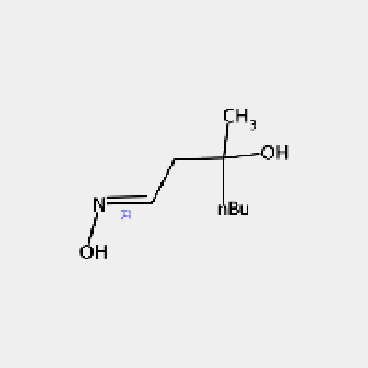 CCCCC(C)(O)C/C=N/O